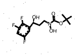 CC(C)(C)OC(=O)N(O)CC[C@H](O)c1cc(F)cc(F)c1F